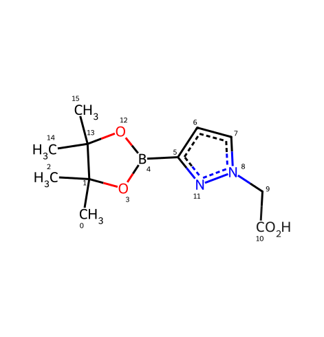 CC1(C)OB(c2ccn(CC(=O)O)n2)OC1(C)C